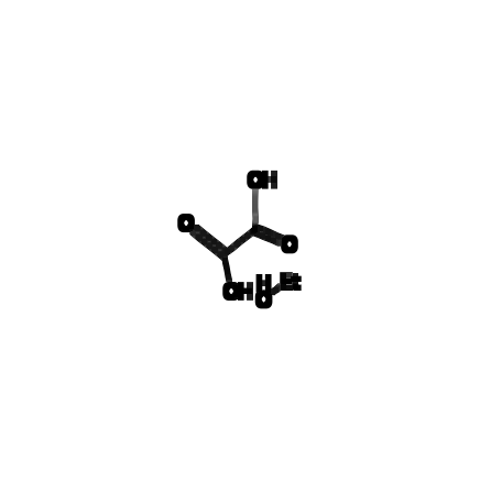 CCO.O=C(O)C(=O)O